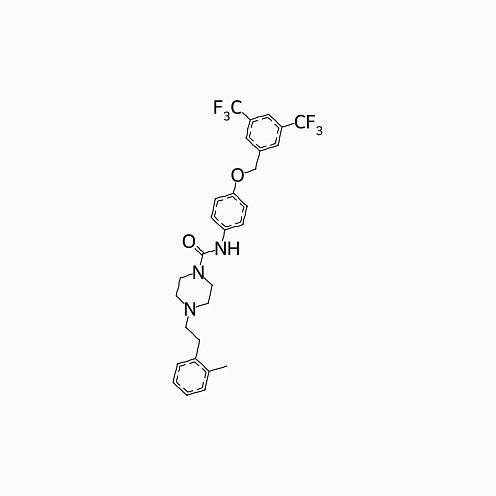 Cc1ccccc1CCN1CCN(C(=O)Nc2ccc(OCc3cc(C(F)(F)F)cc(C(F)(F)F)c3)cc2)CC1